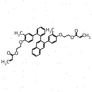 C=CC(=O)OCCOc1ccc(-c2ccccc2-c2cc3ccccc3cc2-c2ccc(OCCOC(=O)C=C)c(C)c2)cc1C